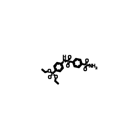 CCOP(=O)(OCC)c1ccc(NS(=O)(=O)c2ccc(S(N)(=O)=O)cc2)cc1